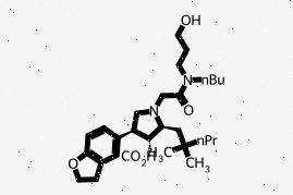 CCCCN(CCCO)C(=O)CN1C[C@H](c2ccc3c(c2)CCO3)[C@@H](C(=O)O)[C@@H]1CC(C)(C)CCC